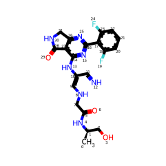 C[C@H](CO)NC(=O)CN/C=C(\C=N)Nc1nc(-c2c(F)cccc2F)nc2c1C(=O)NC2